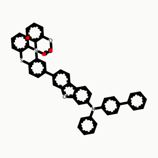 c1ccc(-c2ccc(N(c3ccccc3)c3ccc4c(c3)oc3cc(-c5ccc6c(c5)[Si]5(c7ccccc7Oc7ccccc75)c5ccccc5S6)ccc34)cc2)cc1